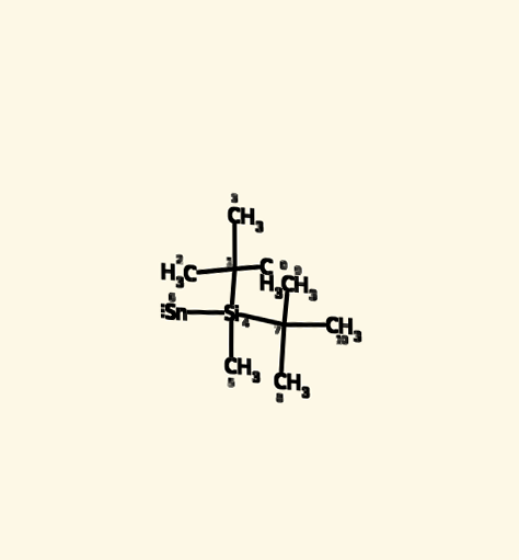 CC(C)(C)[Si](C)([Sn])C(C)(C)C